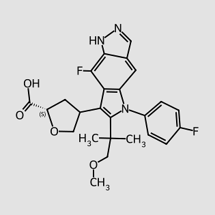 COCC(C)(C)c1c(C2CO[C@H](C(=O)O)C2)c2c(F)c3[nH]ncc3cc2n1-c1ccc(F)cc1